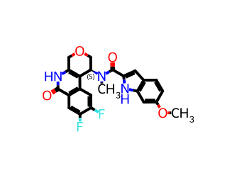 COc1ccc2cc(C(=O)N(C)[C@@H]3COCc4[nH]c(=O)c5cc(F)c(F)cc5c43)[nH]c2c1